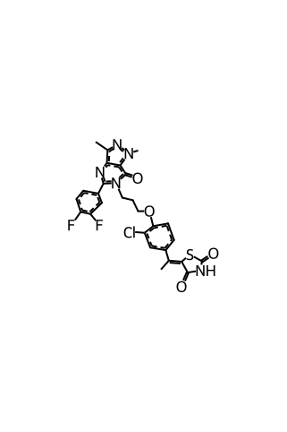 CC(=C1SC(=O)NC1=O)c1ccc(OCCCn2c(-c3ccc(F)c(F)c3)nc3c(C)nn(C)c3c2=O)c(Cl)c1